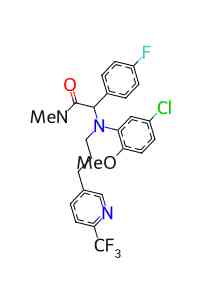 CNC(=O)C(c1ccc(F)cc1)N(CCCc1ccc(C(F)(F)F)nc1)c1cc(Cl)ccc1OC